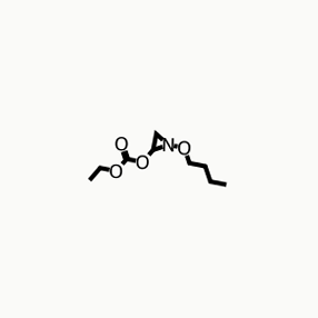 CCCCON1CC1OC(=O)OCC